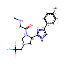 CNCC(=O)N1CN(CC(F)(F)F)CC1c1nc(-c2ccc(Br)cc2)c[nH]1